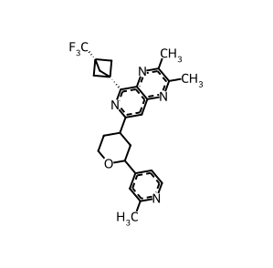 Cc1cc(C2CC(c3cc4nc(C)c(C)nc4c([C@]45C[C@](C(F)(F)F)(C4)C5)n3)CCO2)ccn1